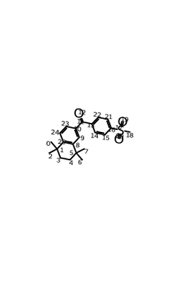 CC1(C)CCC(C)(C)c2cc(C(=O)c3ccc(S(C)(=O)=O)cc3)ccc21